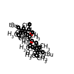 Cc1cc2c3c(c1)N(c1cccc(-c4ccc(CC5(C)CCC(C)(C)c6cc7c8c(sc7cc65)B5c6cc7c(cc6N(c6ccc(C(C)(C)C)cc6)c6cc(C)cc(c65)N8c5cc(-c6ccccc6)cc(-c6ccccc6)c5)C(C)(C)CCC7(C)C)cc4)c1)c1c(sc4cc5c(cc14)C(C)(C)CCC5(C)C)B3c1cc3c(cc1N2c1ccc(C(C)(C)C)cc1)C(C)(C)CCC3(C)C